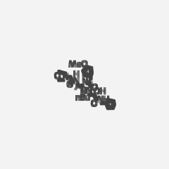 CCCCC(NC(=O)[C@H](Cc1ccc(OC)cc1)NC(=O)[C@H](C)NC(=O)CN1CCOCC1)C(O)C(=O)NCc1ccccc1